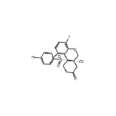 O=C1CC[C@@]2(S(=O)(=O)c3ccc(Cl)cc3)c3c(F)ccc(F)c3OC[C@@]2(O)C1